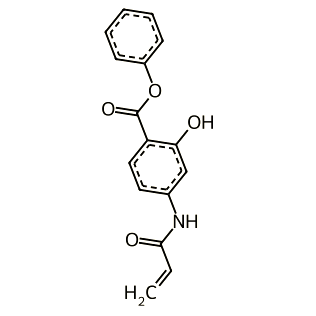 C=CC(=O)Nc1ccc(C(=O)Oc2ccccc2)c(O)c1